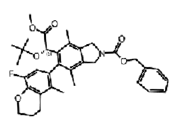 COC(=O)[C@@H](OC(C)(C)C)c1c(C)c2c(c(C)c1-c1cc(F)c3c(c1C)CCCO3)CN(C(=O)OCc1ccccc1)C2